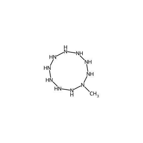 CN1NNNNNNNNN1